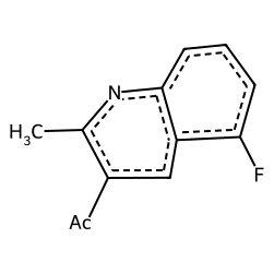 CC(=O)c1cc2c(F)cccc2nc1C